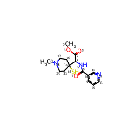 COC(=O)C(NC(=O)c1cccnc1)C1(S)CCN(C)CC1